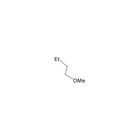 [C]OCCCC